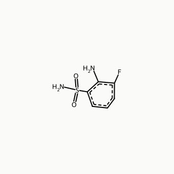 Nc1c(F)cccc1S(N)(=O)=O